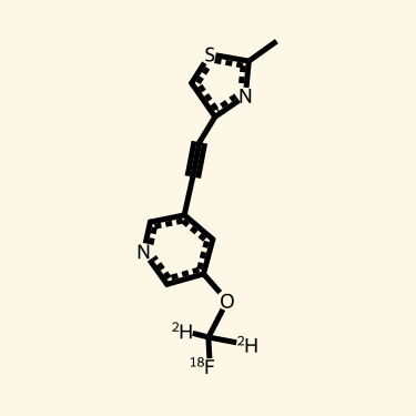 [2H]C([2H])([18F])Oc1cncc(C#Cc2csc(C)n2)c1